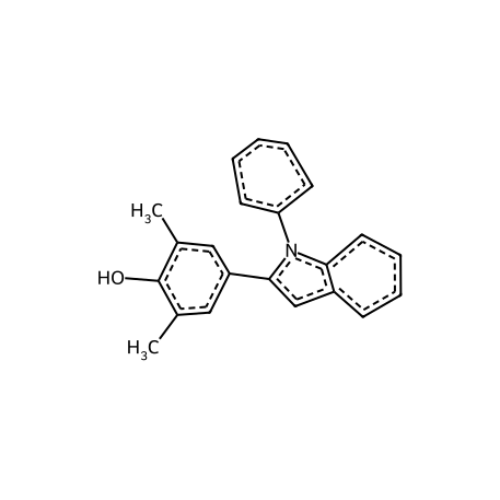 Cc1cc(-c2cc3ccccc3n2-c2ccccc2)cc(C)c1O